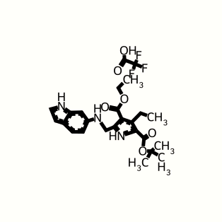 CCOC(=O)c1c(CNc2ccc3cc[nH]c3c2)[nH]c(C(=O)OC(C)(C)C)c1CC.O=C(O)C(F)(F)F